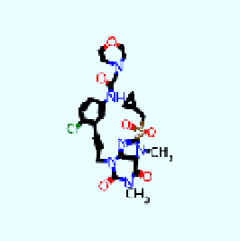 Cn1c(=O)c2c(nc(S(=O)(=O)CC3CC3)n2C)n(CC#Cc2cc(NC(=O)CN3CCOCC3)ccc2Cl)c1=O